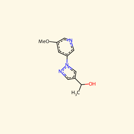 COc1cncc(-n2cc(C(C)O)cn2)c1